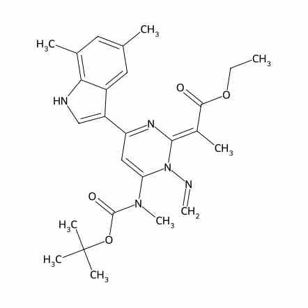 C=NN1C(N(C)C(=O)OC(C)(C)C)=CC(c2c[nH]c3c(C)cc(C)cc23)=N/C1=C(/C)C(=O)OCC